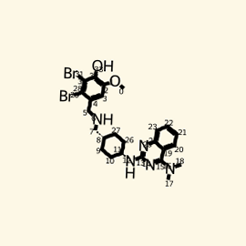 COc1cc(CNC[C@H]2CC[C@@H](Nc3nc(N(C)C)c4ccccc4n3)CC2)c(Br)c(Br)c1O